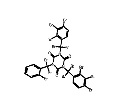 O=c1n(C(Br)(Br)c2ccccc2Br)c(=O)n(C(Br)(Br)c2ccc(Br)c(Br)c2Br)c(=O)n1C(Br)(Br)c1ccc(Br)c(Br)c1Br